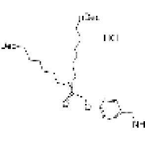 CCCCCCCCCCCCCCCCN(CCCCCCCCCCCCCCCC)C(=O)COc1ccc(CN)cc1.Cl